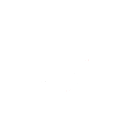 CCCCCCCCCCCCCCC(=O)O.OCC(CO)(CO)CO